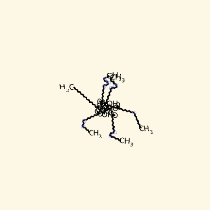 CC/C=C\C/C=C\C/C=C\CCCCCCCC(=O)OC[C@H]1OC(OC2C(OC(=O)CCCCCCC/C=C\C/C=C\CCCCC)[C@H](O)C(COC(=O)CCCCCCC/C=C\CCCCCCCC)[C@@H]2COC(=O)CCCCCCC/C=C\C/C=C\CCCCC)C(O)[C@@H](OC(=O)CCCCCCC/C=C\C/C=C\CCCCC)C1OC(=O)CCCCCCCCCCCCCCCCC